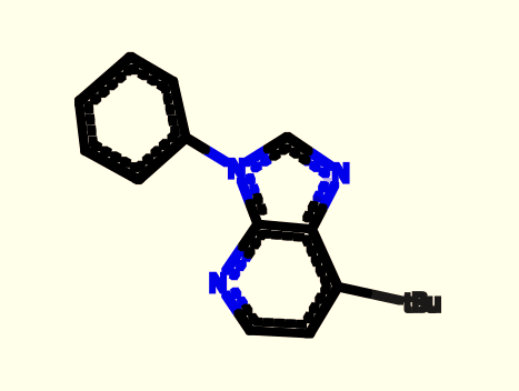 CC(C)(C)c1ccnc2c1ncn2-c1ccccc1